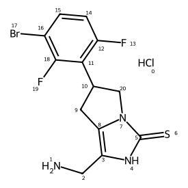 Cl.NCc1[nH]c(=S)n2c1CC(c1c(F)ccc(Br)c1F)C2